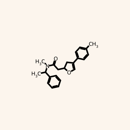 Cc1ccc(C2=COC(CC(=O)N(C)C(C)c3ccccc3)C2)cc1